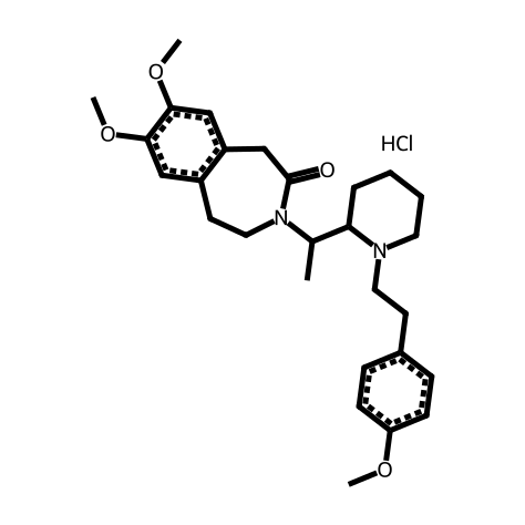 COc1ccc(CCN2CCCCC2C(C)N2CCc3cc(OC)c(OC)cc3CC2=O)cc1.Cl